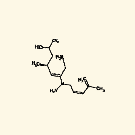 C=C(C)/C=C\CN(N)C(=C[C@@H](C)CC(C)O)CN